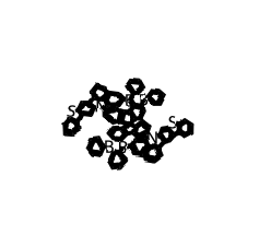 c1ccc(B2c3ccccc3B(c3ccccc3)c3c2ccc2c3-c3cc(-n4c5ccccc5c5cc6c(cc54)sc4ccccc46)ccc3C23c2ccc(-n4c5ccccc5c5cc6sc7ccccc7c6cc54)cc2-c2c3ccc3c2B(c2ccccc2)c2ccccc2B3c2ccccc2)cc1